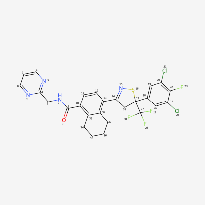 O=C(NCc1ncccn1)c1ccc(C2=NSC(c3cc(Cl)c(F)c(Cl)c3)(C(F)(F)F)C2)c2c1CCCC2